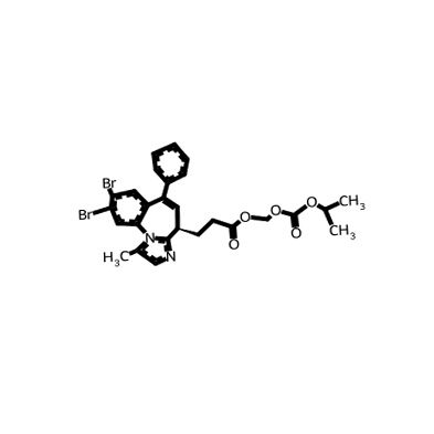 Cc1cnc2n1-c1cc(Br)c(Br)cc1C(c1ccccc1)=C[C@H]2CCC(=O)OCOC(=O)OC(C)C